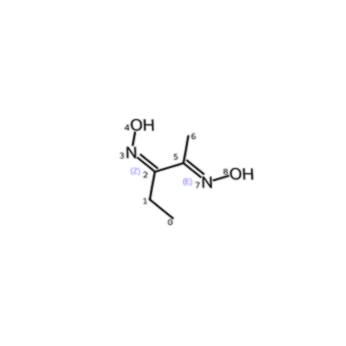 CCC(=N/O)/C(C)=N/O